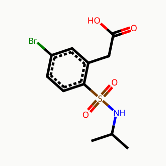 CC(C)NS(=O)(=O)c1ccc(Br)cc1CC(=O)O